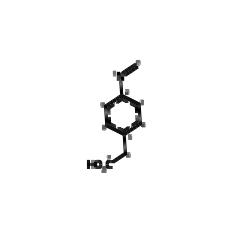 C=Nc1ccc(CC(=O)O)cc1